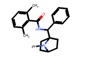 Cc1cccc(C)c1C(=O)NC(c1ccccc1)C12CCC(CC1)N2C(C)C